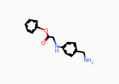 NCc1ccc(NCC(=O)Oc2ccccc2)cc1